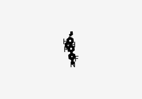 CCC[C@@H]1CC[C@H]2[C@@H](CC[C@@H]3CC(c4ccc(C#N)c(F)c4)CC[C@H]32)C1